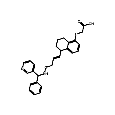 O=C(O)COc1cccc2c1CCCC2/C=C/CONC(c1ccccc1)c1cccnc1